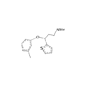 CNCCC(Oc1cccc(C)c1)c1cccs1